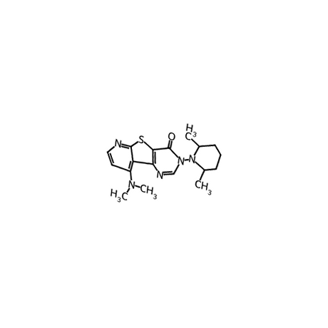 CC1CCCC(C)N1n1cnc2c(sc3nccc(N(C)C)c32)c1=O